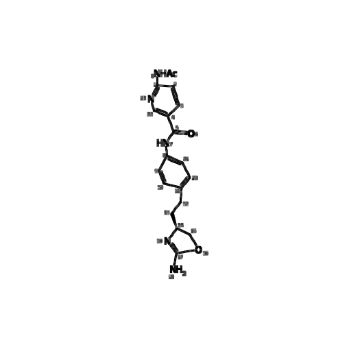 CC(=O)Nc1ccc(C(=O)Nc2ccc(CC[C@H]3COC(N)=N3)cc2)cn1